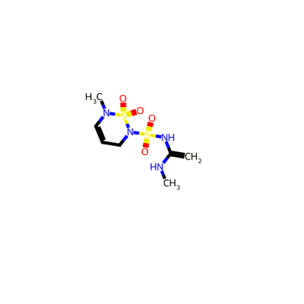 C=C(NC)NS(=O)(=O)N1CC=CN(C)S1(=O)=O